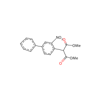 COC(=O)C(C(=O)OC)c1ccc(-c2ccccc2)cc1[N+](=O)[O-]